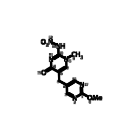 COc1ncc(Cc2cn(C)c(N[N+](=O)[O-])nc2=O)cn1